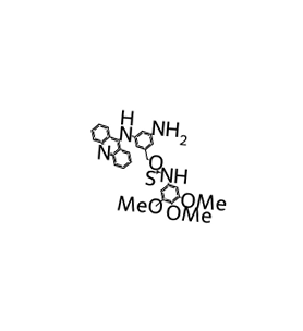 COc1cc(NC(=S)OCc2cc(N)cc(Nc3c4ccccc4nc4ccccc34)c2)cc(OC)c1OC